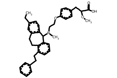 CCc1ccc2c(c1)CCc1c(CCc3ccccc3)cccc1C2N(C)CCOc1ccc(CC(OC)C(=O)O)cc1